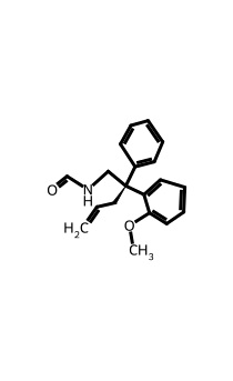 C=CC[C@@](CNC=O)(c1ccccc1)c1ccccc1OC